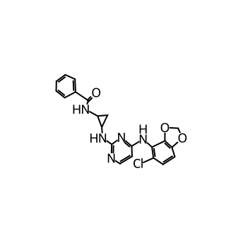 O=C(NC1CC1Nc1nccc(Nc2c(Cl)ccc3c2OCO3)n1)c1ccccc1